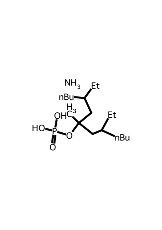 CCCCC(CC)CC(C)(CC(CC)CCCC)OP(=O)(O)O.N